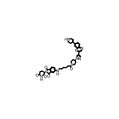 O=C1CCC(N2C(=O)c3ccc(NCCCCCC(=O)N4CCC(n5cc(-c6cnc7ccc(C8=CCNCC8)cc7n6)cn5)CC4)cc3C2=O)C(=O)N1